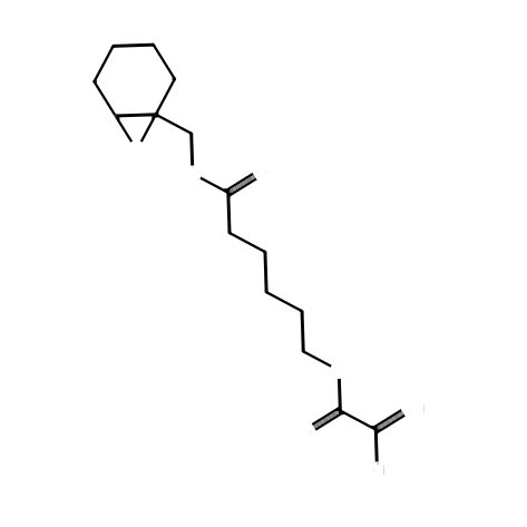 C=C(C)C(=O)OCCCCCC(=O)OCC12CCCCC1O2